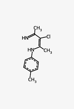 CC(=N)/C(Cl)=C(/C)Nc1ccc(C)cc1